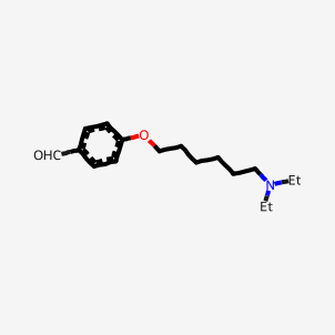 CCN(CC)CCCCCCOc1ccc(C=O)cc1